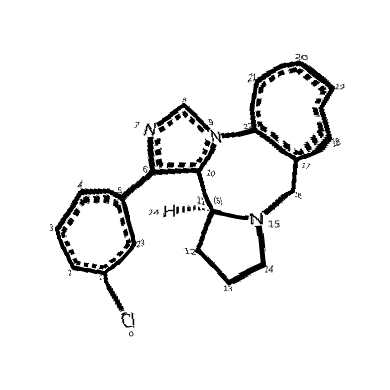 Clc1cccc(-c2ncn3c2[C@@H]2CCCN2Cc2ccccc2-3)c1